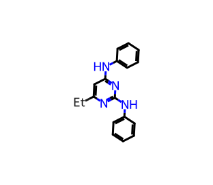 CCc1cc(Nc2ccccc2)nc(Nc2ccccc2)n1